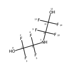 OC(F)(F)C(F)(F)NC(F)(F)C(O)(F)F